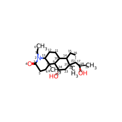 CCN1C(=O)CC[C@]2(C)C3C(CCC12)C1CC[C@H]([C@@H](C)O)[C@@]1(C)C[C@@H]3O